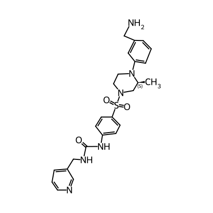 C[C@H]1CN(S(=O)(=O)c2ccc(NC(=O)NCc3cccnc3)cc2)CCN1c1cccc(CN)c1